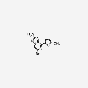 Cc1ccc(-c2nc(Br)cn3nc(N)nc23)o1